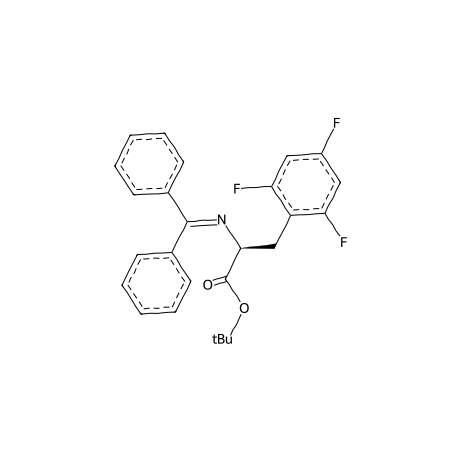 CC(C)(C)OC(=O)[C@H](Cc1c(F)cc(F)cc1F)N=C(c1ccccc1)c1ccccc1